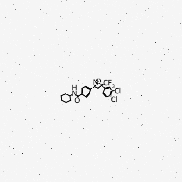 O=C(NC1CCCCC1)c1ccc(C2=NOC(c3ccc(Cl)c(Cl)c3)(C(F)(F)F)C2)cc1